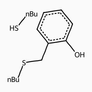 CCCCS.CCCCSCc1ccccc1O